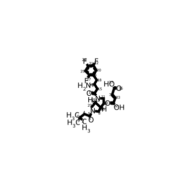 CC(C)(C)CC(=O)N1C[C@@H]2CCN(C(=O)C[C@H](N)Cc3cc(F)c(F)cc3F)[C@@H]2C1.O=C(O)C=CC(=O)O